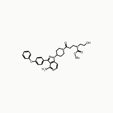 CC(C)(C)OC(=O)N(CCO)CCC(=O)N1CCC(n2nc(-c3ccc(Oc4ccccc4)cc3)c3c(N)nccc32)CC1